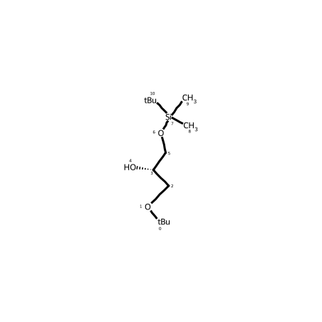 CC(C)(C)OC[C@H](O)CO[Si](C)(C)C(C)(C)C